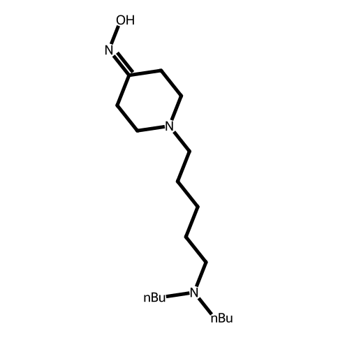 CCCCN(CCCC)CCCCCN1CCC(=NO)CC1